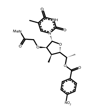 CNC(=O)CO[C@@H]1[C@H](C)[C@@H]([C@H](C)OC(=O)c2ccc([N+](=O)[O-])cc2)O[C@H]1n1cc(C)c(=O)[nH]c1=O